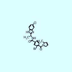 CC1C=CCN1C(=O)c1ccc(C(=O)N[C@@H](C)c2nc3cc(Cl)ccc3[nH]2)cc1Br